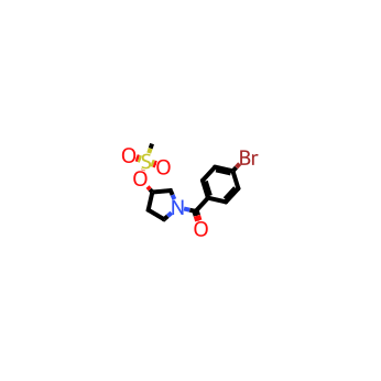 CS(=O)(=O)OC1CCN(C(=O)c2ccc(Br)cc2)C1